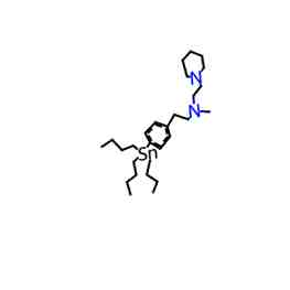 CCC[CH2][Sn]([CH2]CCC)([CH2]CCC)[c]1ccc(CCN(C)CCN2CCCCC2)cc1